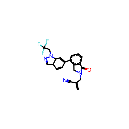 C=C(C#N)CN1Cc2c(cccc2C2=CC3C(C=C2)C=NN3CC(F)(F)F)C1=O